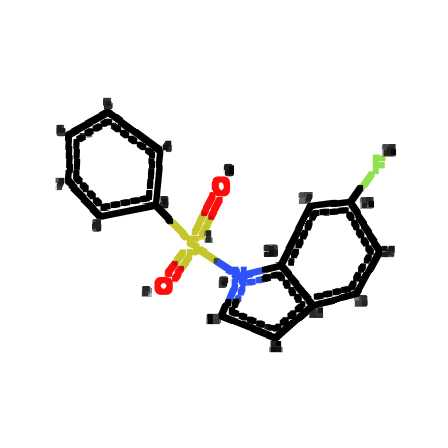 O=S(=O)(c1ccccc1)n1ccc2ccc(F)cc21